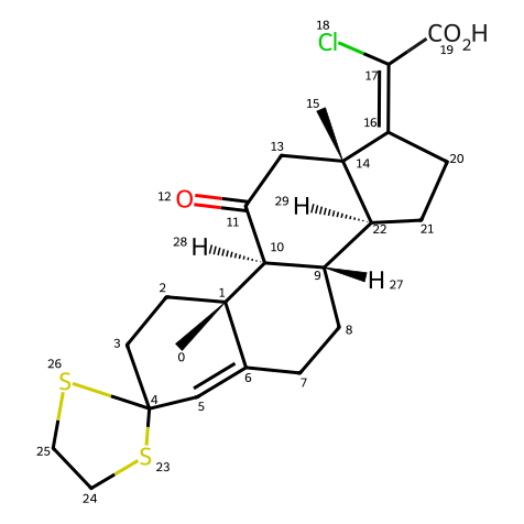 C[C@]12CCC3(C=C1CC[C@@H]1[C@@H]2C(=O)C[C@]2(C)C(=C(Cl)C(=O)O)CC[C@@H]12)SCCS3